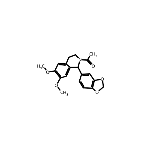 COc1cc2c(cc1OC)C(c1ccc3c(c1)OCO3)N(C(C)=O)CC2